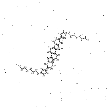 CCCCCCCCc1ccc(-c2ccc3c(c2)[nH]c2c3ccc3c2ccc2c4ccc(-c5ccc(CCCCCCCC)s5)cc4sc23)s1